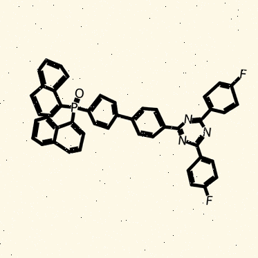 O=P(c1ccc(-c2ccc(-c3nc(-c4ccc(F)cc4)nc(-c4ccc(F)cc4)n3)cc2)cc1)(c1cccc2ccccc12)c1cccc2ccccc12